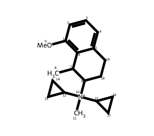 COc1cccc2c1C(C)C([N+](C)(C1CC1)C1CC1)CC2